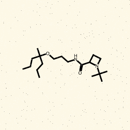 CCCC(C)(CCC)OCCCNC(=O)C1CCN1C(C)(C)C